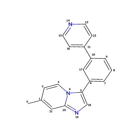 Cc1ccn2c(-c3cccc(-c4ccncc4)c3)cnc2c1